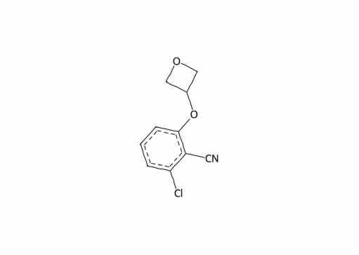 N#Cc1c(Cl)cccc1OC1COC1